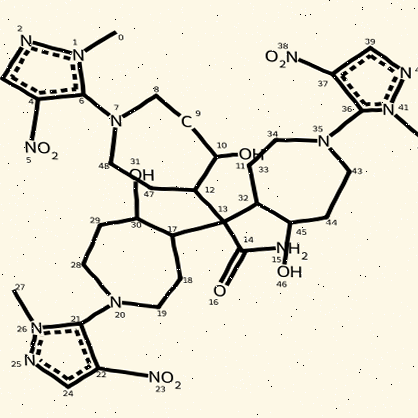 Cn1ncc([N+](=O)[O-])c1N1CCC(O)C(C(C(N)=O)(C2CCN(c3c([N+](=O)[O-])cnn3C)CCC2O)C2CCN(c3c([N+](=O)[O-])cnn3C)CCC2O)CC1